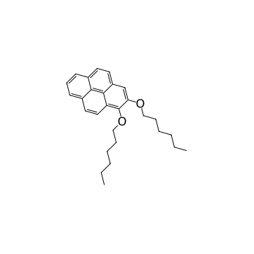 CCCCCCOc1cc2ccc3cccc4ccc(c1OCCCCCC)c2c34